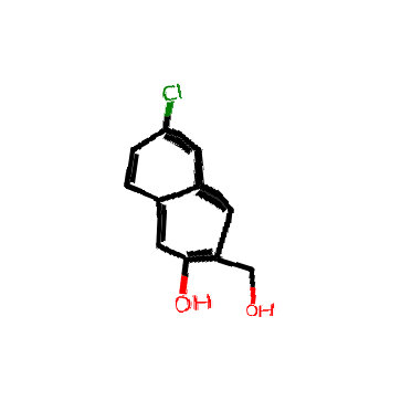 OCc1cc2cc(Cl)ccc2cc1O